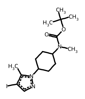 Cc1c(I)cnn1C1CCC(N(C)C(=O)OC(C)(C)C)CC1